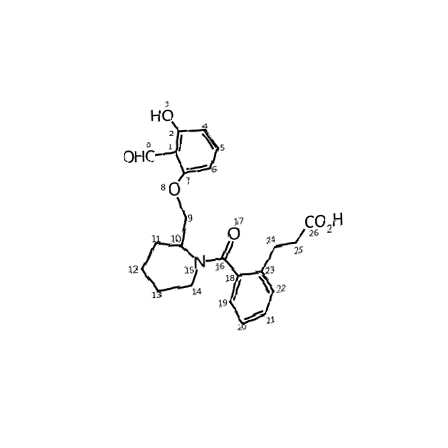 O=Cc1c(O)cccc1OCC1CCCCN1C(=O)c1ccccc1CCC(=O)O